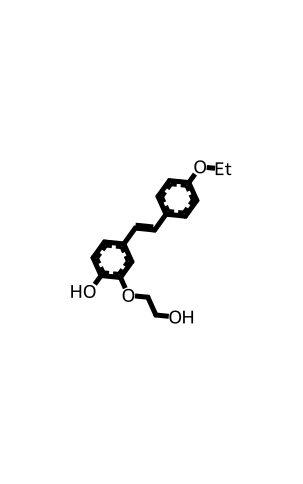 CCOc1ccc(/C=C/c2ccc(O)c(OCCO)c2)cc1